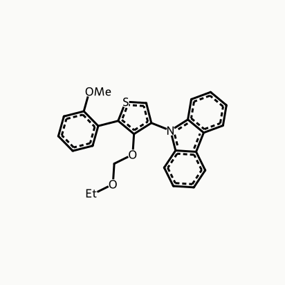 CCOCOc1c(-n2c3ccccc3c3ccccc32)csc1-c1ccccc1OC